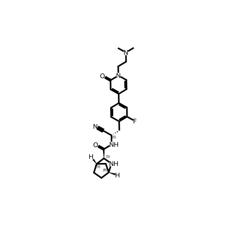 CN(C)CCn1ccc(-c2ccc(C[C@@H](C#N)NC(=O)[C@H]3N[C@@H]4CC[C@H]3C4)c(F)c2)cc1=O